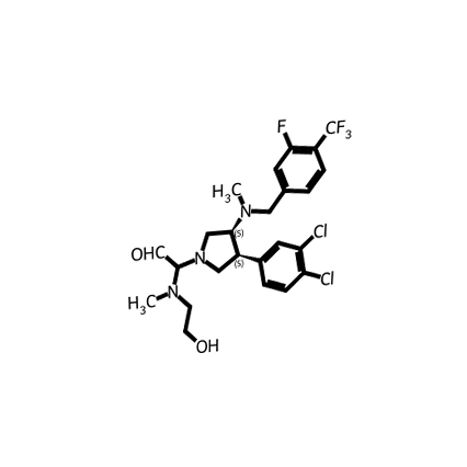 CN(CCO)C(C=O)N1C[C@H](c2ccc(Cl)c(Cl)c2)[C@H](N(C)Cc2ccc(C(F)(F)F)c(F)c2)C1